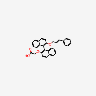 O=C(O)COc1ccc2ccccc2c1-c1c(OC/C=C/c2ccccc2)ccc2ccccc12